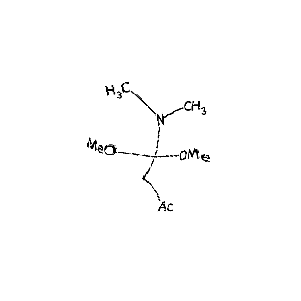 COC(CC(C)=O)(OC)N(C)C